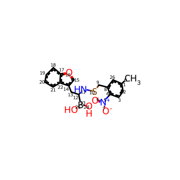 Cc1ccc([N+](=O)[O-])c(CSNC(Cc2coc3ccccc23)B(O)O)c1